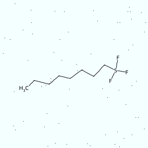 CCCCCCCCS(F)(F)F